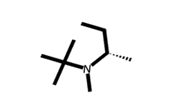 CC[C@H](C)N(C)C(C)(C)C